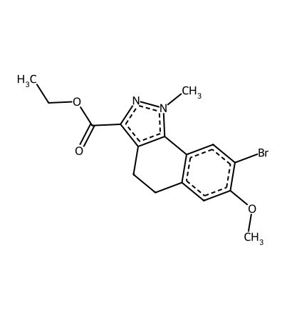 CCOC(=O)c1nn(C)c2c1CCc1cc(OC)c(Br)cc1-2